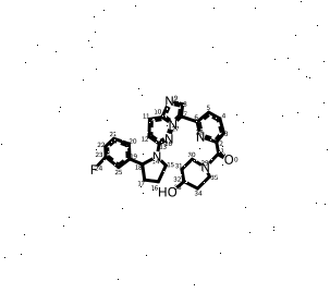 O=C(c1cccc(-c2cnc3ccc(N4CCCC4c4cccc(F)c4)nn23)n1)N1CCC(O)CC1